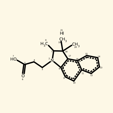 CC1N(CCC(=O)O)c2ccc3ccccc3c2C1(C)C.I